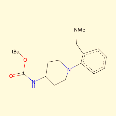 CNCc1ccccc1N1CCC(NC(=O)OC(C)(C)C)CC1